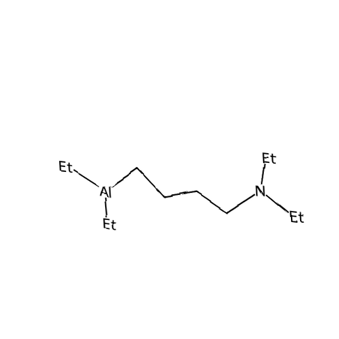 CCN(CC)CCC[CH2][Al]([CH2]C)[CH2]C